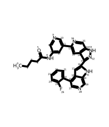 CCCCC(=O)Nc1cncc(-c2cc3c(-c4cc5c(-c6ccccc6F)cncc5[nH]4)n[nH]c3cn2)c1